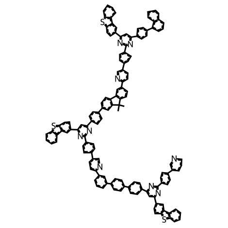 CC1(C)c2ccc(-c3ccc(-c4ccc(-c5nc(-c6ccc(-c7cccc8ccccc78)cc6)cc(-c6ccc7sc8ccccc8c7c6)n5)cc4)cn3)cc2-c2ccc(-c3ccc(-c4cc(-c5ccc6sc7ccccc7c6c5)nc(-c5ccc(-c6ccc(-c7cccc(-c8ccc(-c9ccc(-c%10cc(-c%11ccc%12sc%13ccccc%13c%12c%11)nc(-c%11ccc(-c%12cccnc%12)cc%11)n%10)cc9)cc8)c7)nc6)cc5)n4)cc3)cc21